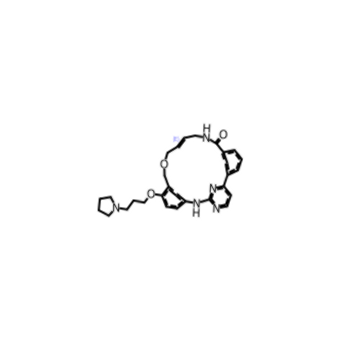 O=C1NC/C=C/COCc2cc(ccc2OCCCN2CCCC2)Nc2nccc(n2)-c2cccc1c2